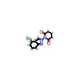 O=C1CCCC(=O)N1n1cc2c(Br)cccc2n1